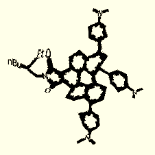 CCCCC(CC)Cn1c(=O)c2c3ccc4c(-c5ccc(N(C)C)cc5)ccc5c6c(-c7ccc(N(C)C)cc7)cc(-c7ccc(N(C)C)cc7)c7ccc(c2c1=O)c(c76)c3c45